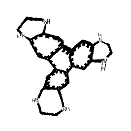 c1c2c(cc3c1c1cc4c(cc1c1cc5c(cc31)NCCN5)NCCN4)NCCN2